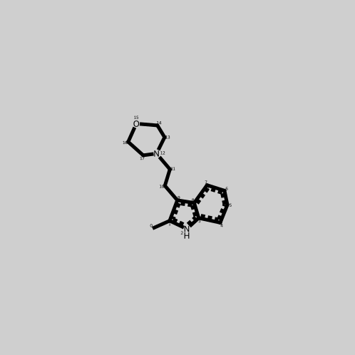 Cc1[nH]c2ccccc2c1CCN1CCOCC1